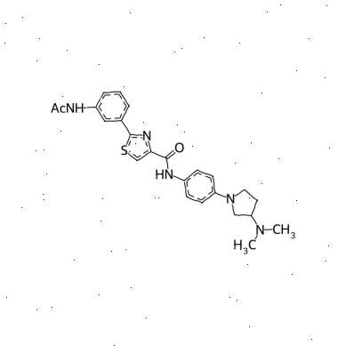 CC(=O)Nc1cccc(-c2nc(C(=O)Nc3ccc(N4CCC(N(C)C)C4)cc3)cs2)c1